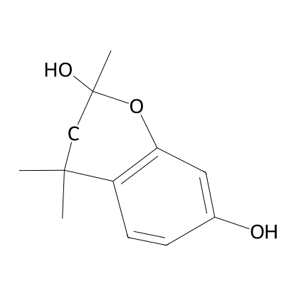 CC1(O)CC(C)(C)c2ccc(O)cc2O1